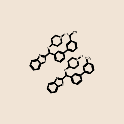 CN1CCC(OC(c2cccc(-c3cccc(CC#N)c3)c2)c2nc3ccccc3s2)CC1.CN1CCC(OC(c2cccc(-c3cccc([N+](=O)[O-])c3)c2)c2nc3ccccc3s2)CC1